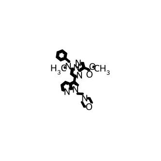 COC(=O)c1cnn2c(N(C)Cc3ccccc3)cc(-c3cn(CCN4CCOCC4)c4ncccc34)nc12